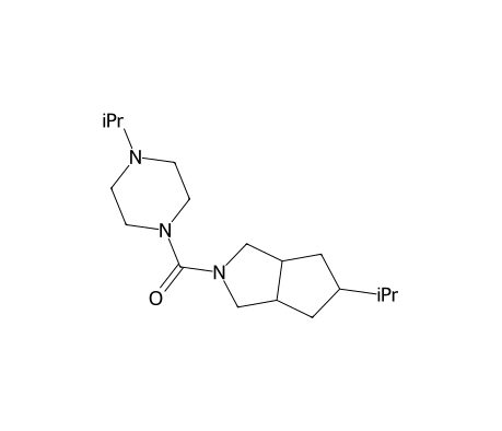 CC(C)C1CC2CN(C(=O)N3CCN(C(C)C)CC3)CC2C1